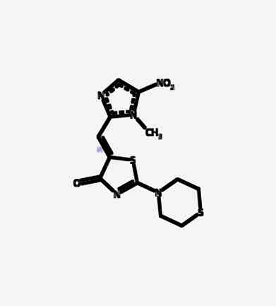 Cn1c([N+](=O)[O-])cnc1/C=C1\SC(N2CCSCC2)=NC1=O